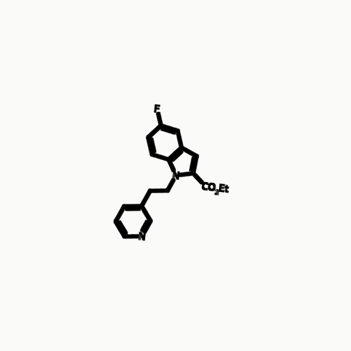 CCOC(=O)c1cc2cc(F)ccc2n1CCc1cccnc1